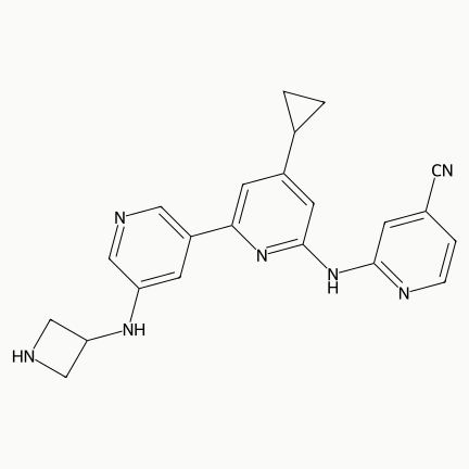 N#Cc1ccnc(Nc2cc(C3CC3)cc(-c3cncc(NC4CNC4)c3)n2)c1